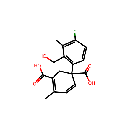 CC1=C(C(=O)O)CC(C(=O)O)(c2ccc(F)c(C)c2CO)C=C1